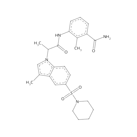 Cc1c(NC(=O)C(C)n2cc(C)c3cc(S(=O)(=O)N4CCCCC4)ccc32)cccc1C(N)=O